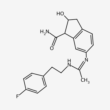 CC(=Nc1ccc2c(c1)C(C(N)=O)C(O)C2)NCCc1ccc(F)cc1